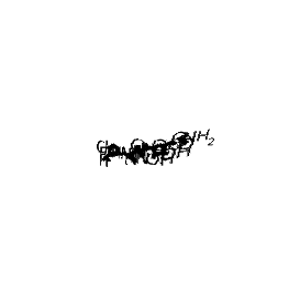 NS(=O)(=O)OCC1OC(c2coc3c(NCc4ccc(Cl)c(C(F)(F)F)c4)ncnc23)C(O)C1O